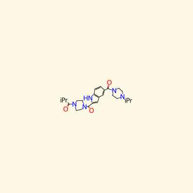 CC(C)C(=O)N1CCN(C(=O)c2cc3cc(C(=O)N4CCN(C(C)C)CC4)ccc3[nH]2)CC1